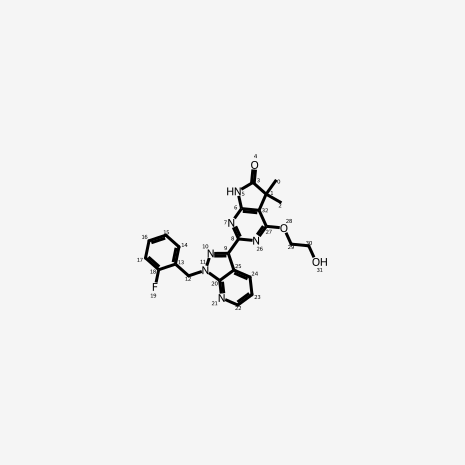 CC1(C)C(=O)Nc2nc(-c3nn(Cc4ccccc4F)c4ncccc34)nc(OCCO)c21